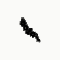 CCCCOc1ccc(-n2ccn(C3CCC(N4CCCN(C)CC4)CC3)c2=O)cc1